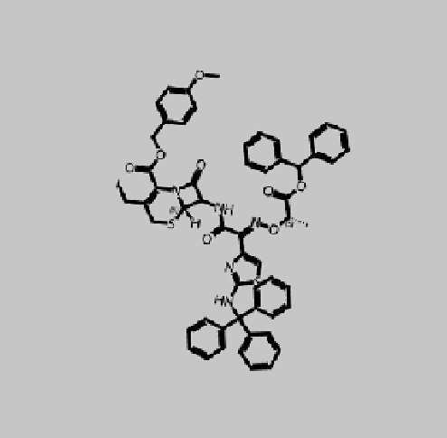 COc1ccc(COC(=O)C2=C(CI)CS[C@H]3C(NC(=O)C(=NO[C@@H](C)C(=O)OC(c4ccccc4)c4ccccc4)c4csc(NC(c5ccccc5)(c5ccccc5)c5ccccc5)n4)C(=O)N23)cc1